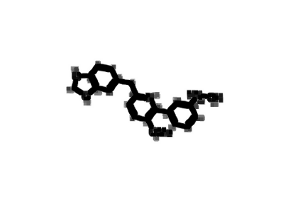 COc1ccc(Cc2ccc3c(c2)OCO3)nc1-c1cccc(NO)c1